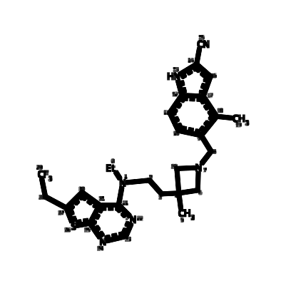 CCN(CCC1(C)CN(Cc2ccc3[nH]c(C#N)cc3c2C)C1)c1ncnc2sc(CC(F)(F)F)cc12